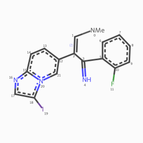 CN/C=C(\C(=N)c1ccccc1F)c1ccc2ncc(I)n2c1